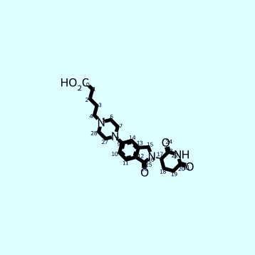 O=C(O)CCCCN1CCN(c2ccc3c(c2)CN([C@H]2CCC(=O)NC2=O)C3=O)CC1